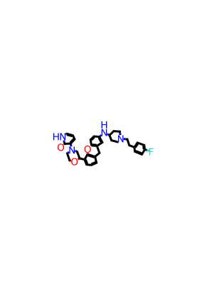 O=c1[nH]cccc1N1CCOC(c2cccc3c2Oc2ccc(NC4CCN(CCc5ccc(F)cc5)CC4)cc2C3)C1